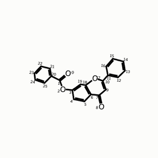 O=C(Oc1ccc2c(=O)cc(-c3ccccc3)oc2c1)c1ccccc1